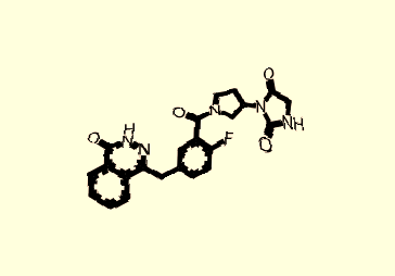 O=C(c1cc(Cc2n[nH]c(=O)c3ccccc23)ccc1F)N1CCC(N2C(=O)CNC2=O)C1